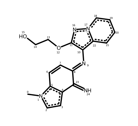 Cn1ccc2c1C=CC(=Nc1c(OCCO)nn3ccccc13)C2=N